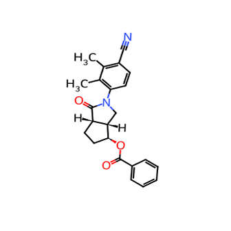 Cc1c(C#N)ccc(N2C[C@@H]3[C@@H](OC(=O)c4ccccc4)CC[C@@H]3C2=O)c1C